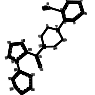 CC(C)(C)c1ccccc1N1CCN(C(=O)c2cccn2-c2ccccc2)CC1